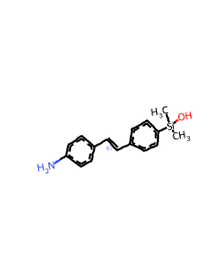 C[Si](C)(O)c1ccc(/C=C/c2ccc(N)cc2)cc1